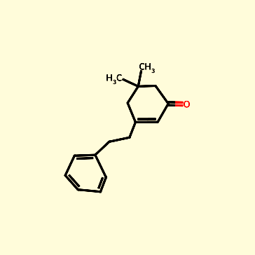 CC1(C)CC(=O)C=C(CCc2ccccc2)C1